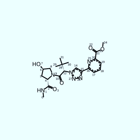 CNC(=O)[C@@H]1C[C@@H](O)CN1C(=O)[C@@H](n1cc(-c2cccc(C(=O)OC)n2)nn1)C(C)(C)C